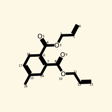 C=CCOC(=O)C1=C(C(=O)OCC=C)CC(C)=CC1